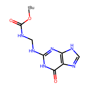 CC(C)(C)OC(=O)NCNc1nc2[nH]cnc2c(=O)[nH]1